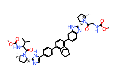 COC(=O)NCC(=O)N1[C@@H](C)CC[C@H]1c1nc2ccc(-c3ccc(-c4ccc(-c5cnc([C@@H]6CC[C@H](C)N6C(=O)C(NC(=O)OC)C(C)C)[nH]5)cc4)c4c3C3CCC4C3)cc2[nH]1